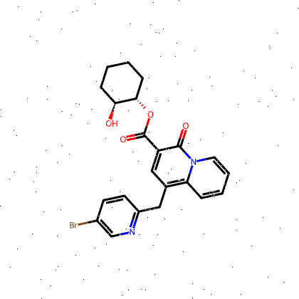 O=C(O[C@H]1CCCC[C@@H]1O)c1cc(Cc2ccc(Br)cn2)c2ccccn2c1=O